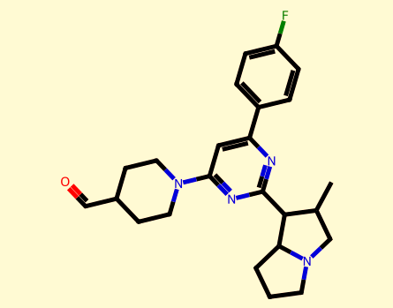 CC1CN2CCCC2C1c1nc(-c2ccc(F)cc2)cc(N2CCC(C=O)CC2)n1